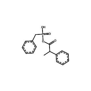 CC(C(=O)OP(=O)(O)Cc1ccccc1)c1ccccc1